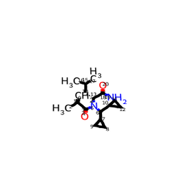 C=C(C)C(=O)N(C(C1CC1)C1CC1)[C@H](CC(C)C)C(N)=O